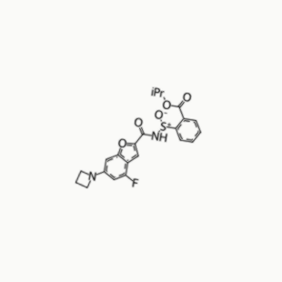 CC(C)OC(=O)c1ccccc1[S+]([O-])NC(=O)c1cc2c(F)cc(N3CCC3)cc2o1